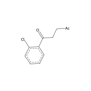 CC(=O)CCC(=O)c1ccccc1Cl